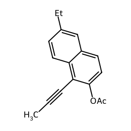 CC#Cc1c(OC(C)=O)ccc2cc(CC)ccc12